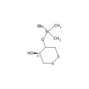 CC(C)(C)[Si](C)(C)OC1CSSC[C@H]1O